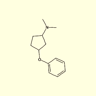 CN(C)C1CCC(Oc2ccccc2)C1